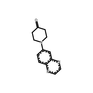 O=C1CCN(c2ccc3nccnc3c2)CC1